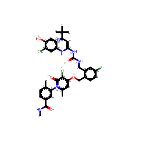 CNC(=O)c1ccc(C)c(-n2c(C)cc(OCc3ccc(F)cc3CNC(=O)N/C(=C/C(=N)C(C)(C)C)Nc3ccc(O)c(Cl)c3)c(Cl)c2=O)c1